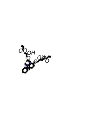 C=CC(=O)OCC(O)COC1=CCC(C)(C2(C(/C=C\C(C)OCC(O)COC(=O)C=C)=C/C)CCCCC2)C=C1